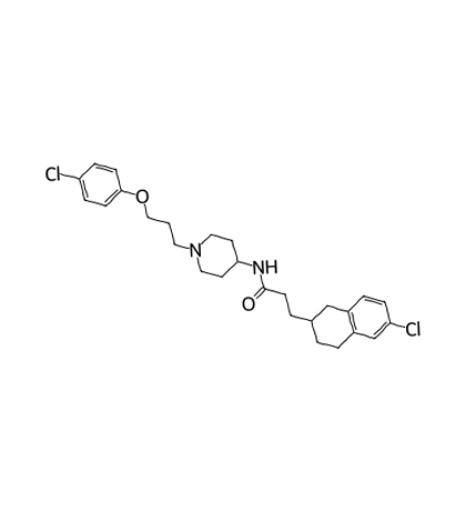 O=C(CCC1CCc2cc(Cl)ccc2C1)NC1CCN(CCCOc2ccc(Cl)cc2)CC1